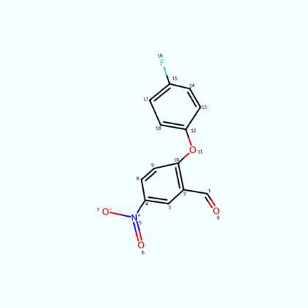 O=Cc1cc([N+](=O)[O-])ccc1Oc1ccc(F)cc1